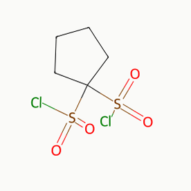 O=S(=O)(Cl)C1(S(=O)(=O)Cl)CCCC1